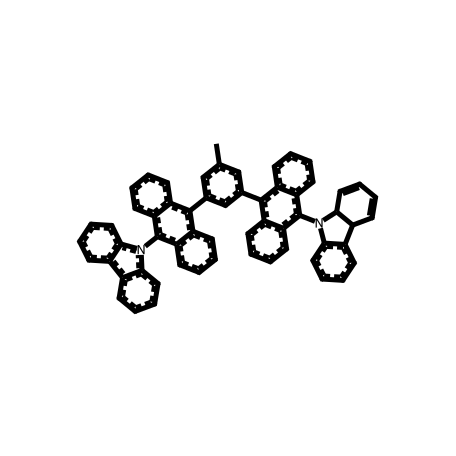 Cc1cc(-c2c3ccccc3c(N3c4ccccc4C4C=CC=CC43)c3ccccc23)cc(-c2c3ccccc3c(-n3c4ccccc4c4ccccc43)c3ccccc23)c1